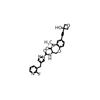 CN1C(=O)C(NC(=O)n2cc(Cc3cccnc3F)cn2)COc2ccc(C#CC3(O)COC3)cc21